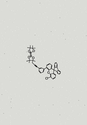 CC1(C)OB(B2OC(C)(C)C(C)(CC#Cc3cccc(-c4cccc5c4Oc4c(Cl)cccc4C54c5ccccc5-c5ccccc54)c3)O2)OC1(C)C